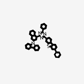 C1=CCCC(c2ccc3c(c2)sc2cc(-c4nc(-c5ccccc5)nc(-c5cc(-n6c7ccccc7c7ccccc76)cc6ccccc56)n4)ccc23)=C1